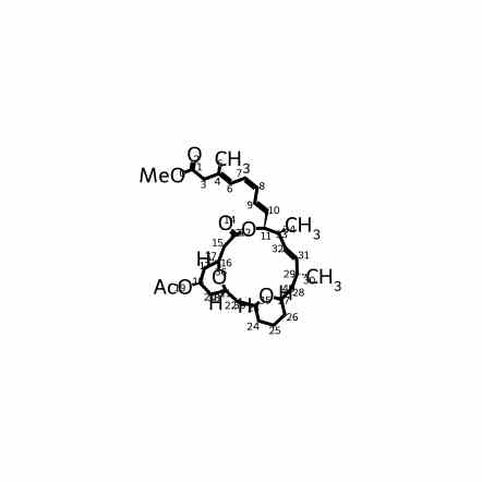 COC(=O)C/C(C)=C/C=C\C=C\[C@@H]1OC(=O)C[C@@H]2C[C@H](OC(C)=O)C[C@H](C[C@@H]3CCC[C@H](C[C@@H](C)/C=C/[C@@H]1C)O3)O2